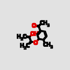 C=C(O)C(=C)OC1C=C(C(C)=O)C=CC1C